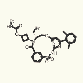 CCNC(=O)O[C@H]1C[C@@H](N2C(=O)c3cccc(c3)S(=O)(=O)Nc3nc(cc(-c4c(C)cccc4C)n3)OC[C@H]2CC(C)C)C1